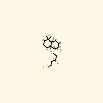 C[C@H](CCO)CC[C@H]1[C@@H](C)CC[C@H]2C(C)(C)CCC[C@]12C